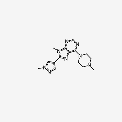 CN1CCN(c2ncnc3c2nc(-c2cnn(C)c2)n3C)CC1